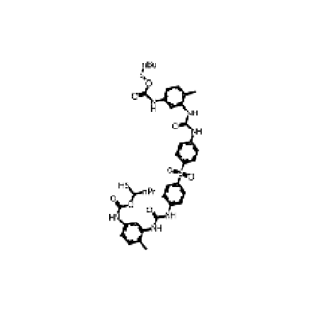 CCCCSOC(=O)Nc1ccc(C)c(NC(=O)Nc2ccc(S(=O)(=O)c3ccc(NC(=O)Nc4cc(NC(=O)OC(S)CCC)ccc4C)cc3)cc2)c1